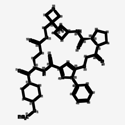 CCOC(=O)ON1CCN(C(=O)[C@H](CCC(=O)OCC2(C)COC2)NC(=O)c2cc(OCC(=O)N3CCC[C@H]3C(=O)NC3CCC3)n(-c3ccccc3)n2)CC1